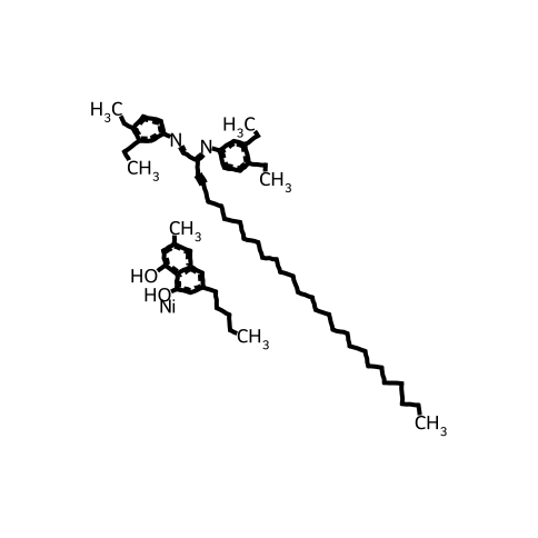 CCCCCCCCCCCCCCCCCCCCCCCCCC#CC(C=Nc1ccc(CC)c(CC)c1)=Nc1ccc(CC)c(CC)c1.CCCCCc1cc(O)c2c(O)cc(C)cc2c1.[Ni]